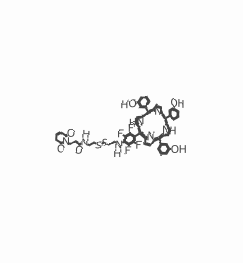 O=C(CCN1C(=O)C=CCC1=O)NCCSSCCNc1c(F)c(F)c(-c2c3nc(c(-c4cccc(O)c4)c4ccc([nH]4)c(-c4cccc(O)c4)c4nc(c(-c5cccc(O)c5)c5ccc2[nH]5)C=C4)C=C3)c(F)c1F